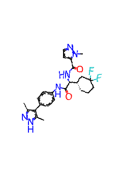 Cc1n[nH]c(C)c1-c1ccc(NC(=O)[C@@H](NC(=O)c2ccnn2C)[C@H]2CCCC(F)(F)C2)cc1